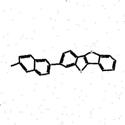 Cc1ccc2cc(-c3ccc4c(c3)sc3c5ccccc5sc43)ccc2c1